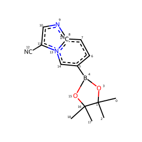 CC1(C)OB(c2cc[14c]3ncc(C#N)n3c2)OC1(C)C